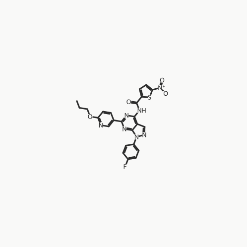 CCCOc1ccc(-c2nc(NC(=O)c3ccc([N+](=O)[O-])s3)c3cnn(-c4ccc(F)cc4)c3n2)cn1